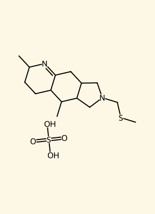 CSCN1CC2CC3=NC(C)CCC3C(C)C2C1.O=S(=O)(O)O